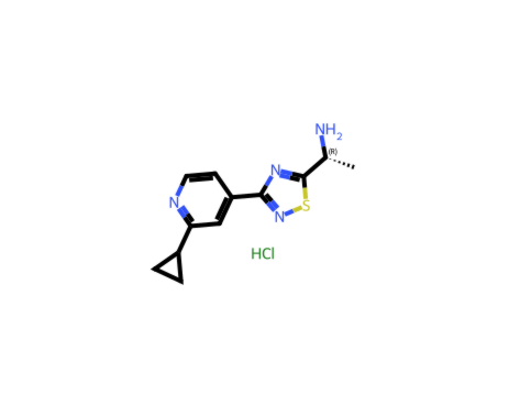 C[C@@H](N)c1nc(-c2ccnc(C3CC3)c2)ns1.Cl